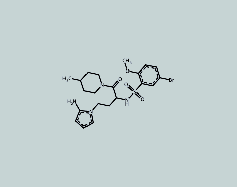 COc1ccc(Br)cc1S(=O)(=O)NC(CCn1cccc1N)C(=O)N1CCC(C)CC1